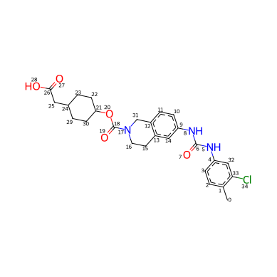 Cc1ccc(NC(=O)Nc2ccc3c(c2)CCN(C(=O)OC2CCC(CC(=O)O)CC2)C3)cc1Cl